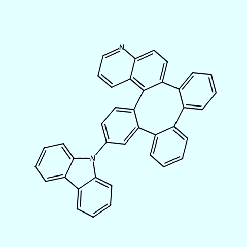 c1ccc2c(c1)-c1ccccc1-c1ccc3ncccc3c1-c1ccc(-n3c4ccccc4c4ccccc43)cc1-2